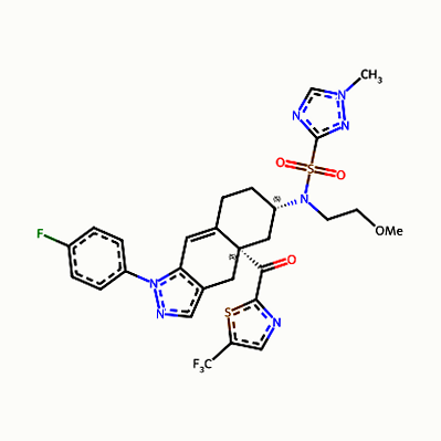 COCCN([C@H]1CCC2=Cc3c(cnn3-c3ccc(F)cc3)C[C@]2(C(=O)c2ncc(C(F)(F)F)s2)C1)S(=O)(=O)c1ncn(C)n1